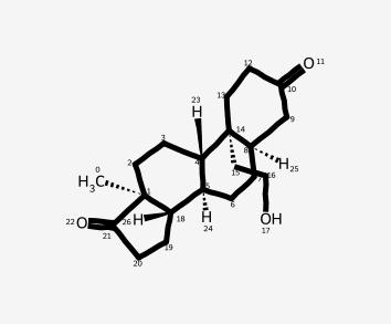 C[C@]12CC[C@H]3[C@@H](CC[C@@H]4CC(=O)CC[C@@]43CCO)[C@@H]1CCC2=O